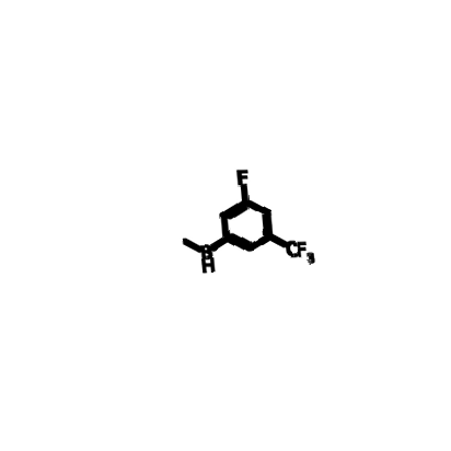 CBc1cc(F)cc(C(F)(F)F)c1